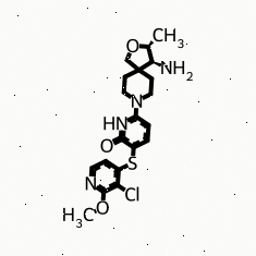 COc1nccc(Sc2ccc(N3CCC4(CC3)CO[C@@H](C)[C@H]4N)[nH]c2=O)c1Cl